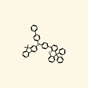 CC1(C)c2ccccc2-c2ccc(N(c3ccc(-c4ccccc4)cc3)c3ccc(-c4cccc5c4Oc4ccccc4C5(c4ccccc4)c4ccccc4)cc3)cc21